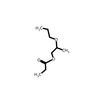 CCCOC(C)COC(=O)CC